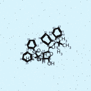 CC(C)(C)[Si](OC[C@H]1OC(O)[C@@](F)(Br)[C@@H]1O[Si](c1ccccc1)(c1ccccc1)C(C)(C)C)(c1ccccc1)c1ccccc1